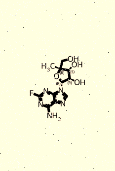 C[C@]1(CO)O[C@@H](n2cnc3c(N)nc(F)nc32)[C@H](O)[C@@H]1O